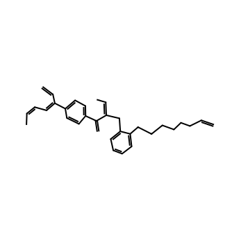 C=CCCCCCCc1ccccc1C/C(=C/C)C(=C)c1ccc(/C(C=C)=C/C=C\C)cc1